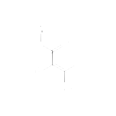 CCCOC(=O)/C(O)=C(\F)C(=O)OCC